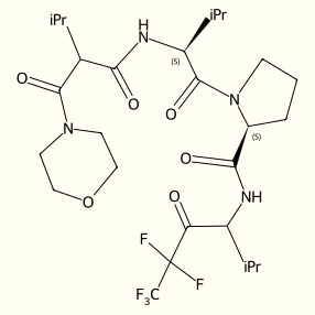 CC(C)C(NC(=O)[C@@H]1CCCN1C(=O)[C@@H](NC(=O)C(C(=O)N1CCOCC1)C(C)C)C(C)C)C(=O)C(F)(F)C(F)(F)F